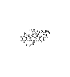 BC(C)OCCC(C)(C)Oc1c(C(C)c2ccccc2)cc(OC)cc1C(C)c1ccccc1